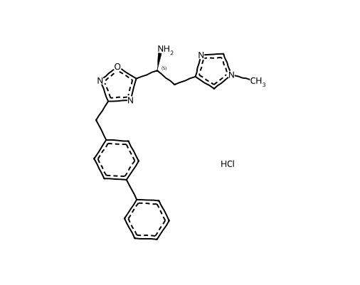 Cl.Cn1cnc(C[C@H](N)c2nc(Cc3ccc(-c4ccccc4)cc3)no2)c1